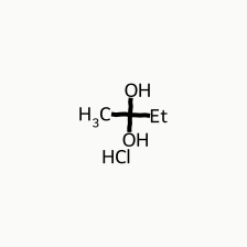 CCC(C)(O)O.Cl